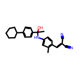 Cc1cc(NC(C)(O)c2ccc(C3CCCCC3)cc2)ccc1C=C(C#N)C#N